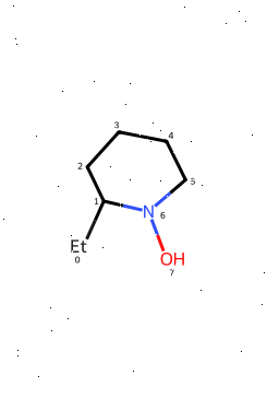 CCC1CCCCN1O